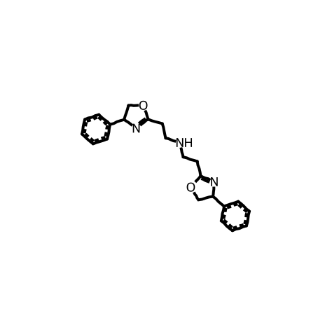 c1ccc(C2COC(CCNCCC3=NC(c4ccccc4)CO3)=N2)cc1